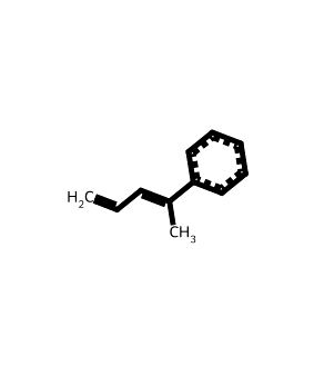 C=C/C=C(\C)c1ccccc1